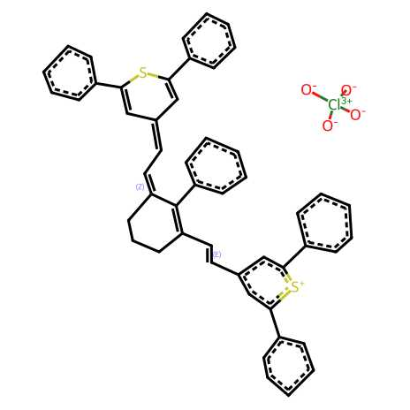 C(/C=C1/CCCC(/C=C/c2cc(-c3ccccc3)[s+]c(-c3ccccc3)c2)=C1c1ccccc1)=C1C=C(c2ccccc2)SC(c2ccccc2)=C1.[O-][Cl+3]([O-])([O-])[O-]